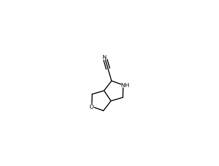 N#CC1NCC2COCC21